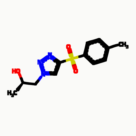 Cc1ccc(S(=O)(=O)c2cn(C[C@@H](C)O)nn2)cc1